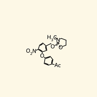 CC(=O)c1ccc(Oc2cc(COP3OCCCN3C)ccc2[N+](=O)[O-])cc1